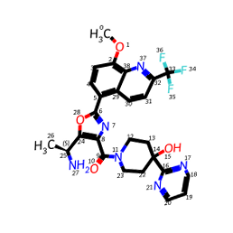 COc1ccc(-c2nc(C(=O)N3CCC(O)(c4ncccn4)CC3)c([C@H](C)N)o2)c2ccc(C(F)(F)F)nc12